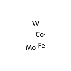 [Co].[Fe].[Mo].[W]